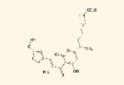 CCCOc1ccc(C=C(C)C(=O)c2c(O)cc(C(C)CC/C=C/NC(=O)O)oc2=O)s1